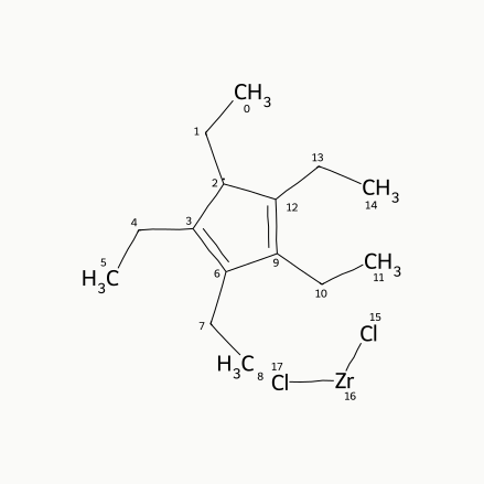 CC[C]1C(CC)=C(CC)C(CC)=C1CC.[Cl][Zr][Cl]